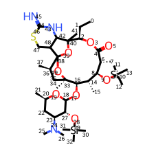 CC[C@H]1OC(=O)[C@H](C)[C@@H](O[Si](C)(C)C)[C@H](C)[C@@H](OC2O[C@H](C)C[C@H](N(C)C)[C@H]2O[Si](C)(C)C)[C@@]2(C)C[C@@H](C)C3(OC1(C)C1NC(=N)SCC13)O2